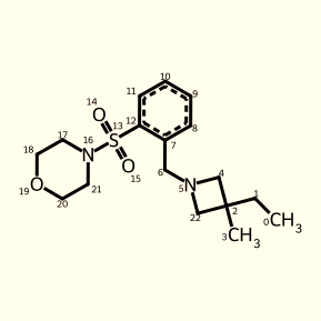 CCC1(C)CN(Cc2ccccc2S(=O)(=O)N2CCOCC2)C1